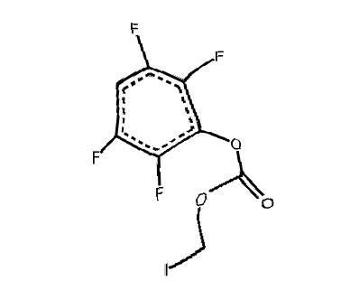 O=C(OCI)Oc1c(F)c(F)cc(F)c1F